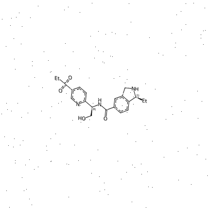 CC[C@@H]1NCc2cc(C(=O)N[C@@H](CO)c3ccc(S(=O)(=O)CC)cn3)ccc21